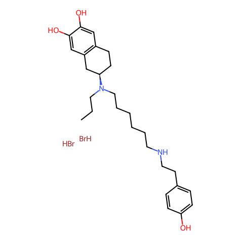 Br.Br.CCCN(CCCCCCNCCc1ccc(O)cc1)[C@@H]1CCc2cc(O)c(O)cc2C1